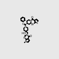 Cn1ccc2c(=O)n(CC3(O)CCN(C(=O)[C@@H]4CCN(C(=O)c5ccsc5Br)C[C@H]4c4ccccc4)CC3)cnc21